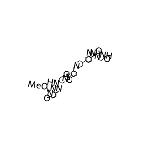 COCCn1c(=O)ccc2cnc(NC3CCN(S(=O)(=O)c4cccc(CN5CCC(c6ccc7c(N8CCC(=O)NC8=O)nn(C)c7c6)CC5)c4)CC3)nc21